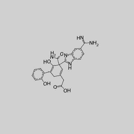 N=C(N)c1ccc2[nH]c(C3(C(N)=O)C=C(CC(=O)O)CC(c4ccccc4O)=C3O)nc2c1